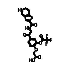 O=C(O)COc1ccc(C(=O)CNC(=O)c2cc3c(s2)CCNC3)cc1OC(=O)C(F)(F)F